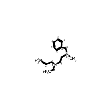 CCN(CCN)CCN(C)Cc1ccccc1